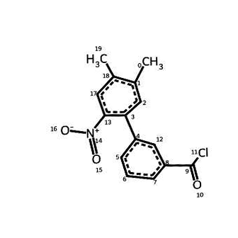 Cc1cc(-c2cccc(C(=O)Cl)c2)c([N+](=O)[O-])cc1C